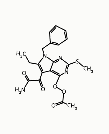 CCc1c(C(=O)C(N)=O)c2c(OOC(C)=O)nc(SC)nc2n1Cc1ccccc1